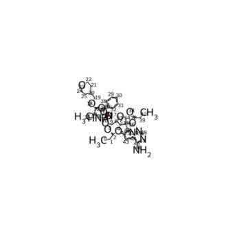 CCC(=O)O[C@@H]1[C@@](C#N)(COP(=O)(N[C@@H](C)C(=O)OCC2CCOCC2)Oc2ccccc2)OC[C@]1(OC(=O)CC)c1ccc2c(N)ncnn12